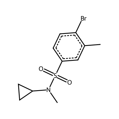 Cc1cc(S(=O)(=O)N(C)C2CC2)ccc1Br